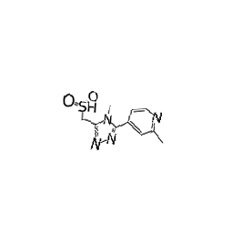 Cc1cc(-c2nnc(C[SH](=O)=O)n2C)ccn1